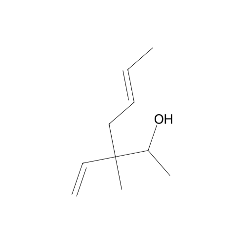 C=CC(C)(CC=CC)C(C)O